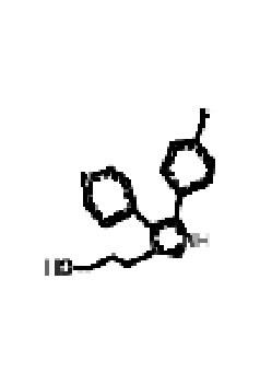 OCCCc1c[nH]c(-c2ccc(F)cc2)c1-c1ccncc1